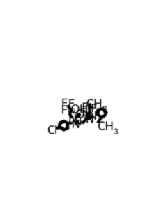 CCc1ccccc1-n1nc(Cn2nc(-c3ccc(Cl)cc3)n(C[C@H](O)C(F)(F)F)c2=O)nc1C(C)(F)F